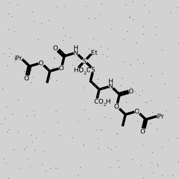 CCS(NC(=O)OC(C)OC(=O)C(C)C)(SCC(NC(=O)OC(C)OC(=O)C(C)C)C(=O)O)C(=O)O